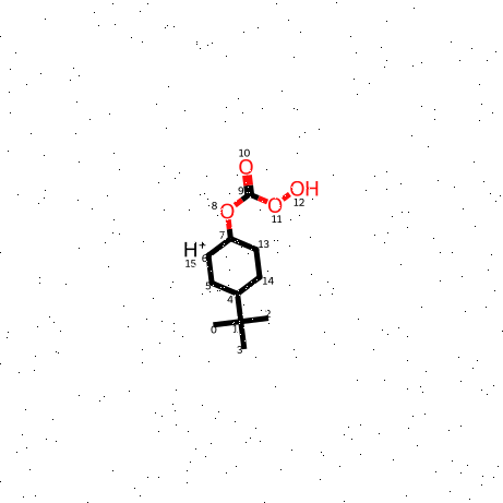 CC(C)(C)C1CCC(OC(=O)OO)CC1.[H+]